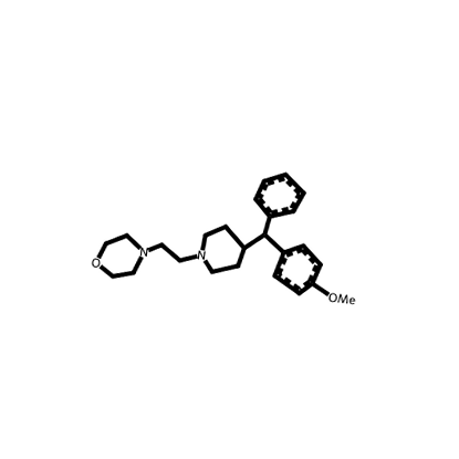 COc1ccc(C(c2ccccc2)C2CCN(CCN3CCOCC3)CC2)cc1